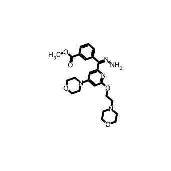 COC(=O)c1cccc(C(=NN)c2cc(N3CCOCC3)cc(OCCN3CCOCC3)n2)c1